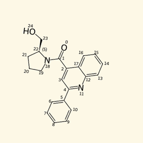 O=C(c1cc(-c2ccccc2)nc2ccccc12)N1CCC[C@H]1CO